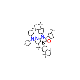 CC(C)(C)c1ccc2oc3c(c2c1)N(c1ccc2c(c1)C(C)(C)CCC2(C)C)c1nc(N(c2ccccc2)c2ccccc2)cc2c1B3c1cc3c(cc1C2(C)C)C(C)(C)CCC3(C)C